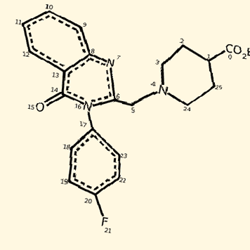 CCOC(=O)C1CCN(Cc2nc3ccccc3c(=O)n2-c2ccc(F)cc2)CC1